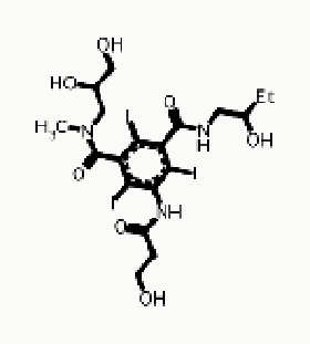 CCC(O)CNC(=O)c1c(I)c(NC(=O)CCO)c(I)c(C(=O)N(C)CC(O)CO)c1I